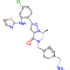 C[C@H]1CN(Cc2ccc(CN)cc2)C(=O)c2cc(-c3ccc(Cl)cc3Nc3nccs3)nn21